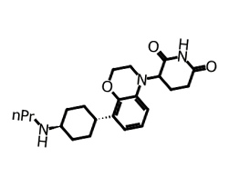 CCCN[C@H]1CC[C@H](c2cccc3c2OCCN3C2CCC(=O)NC2=O)CC1